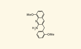 COc1ccccc1Cc1cc2cccc(OC)c2nc1N